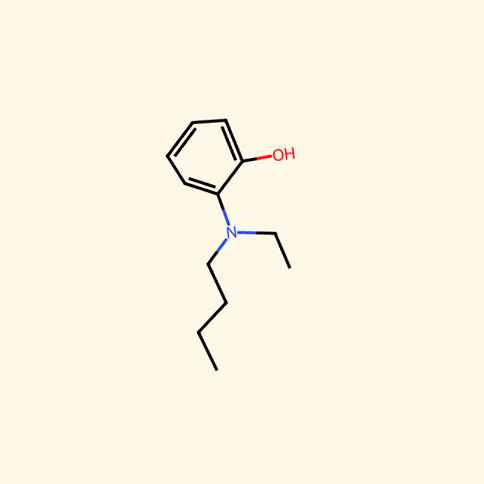 CCCCN(CC)c1ccccc1O